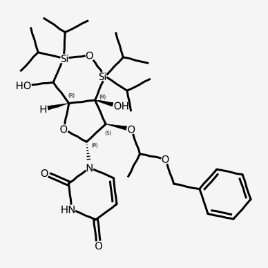 CC(OCc1ccccc1)O[C@H]1[C@H](n2ccc(=O)[nH]c2=O)O[C@@H]2C(O)[Si](C(C)C)(C(C)C)O[Si](C(C)C)(C(C)C)[C@@]21O